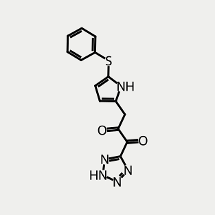 O=C(Cc1ccc(Sc2ccccc2)[nH]1)C(=O)c1nn[nH]n1